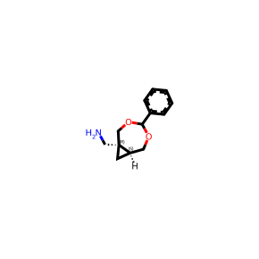 NC[C@]12COC(c3ccccc3)OC[C@H]1C2